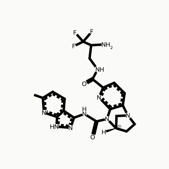 Cc1ccc2c(NC(=O)N3c4nc(C(=O)NCC(N)C(F)(F)F)ccc4N4CC[C@H]3C4)n[nH]c2n1